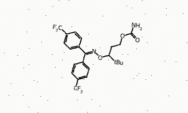 CC(C)(C)C(CCOC(N)=O)ON=C(c1ccc(C(F)(F)F)cc1)c1ccc(C(F)(F)F)cc1